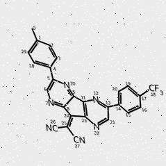 Cc1ccc(-c2cnc3c(n2)-c2nc(-c4ccc(C(F)(F)F)cc4)cnc2C3=C(C#N)C#N)cc1